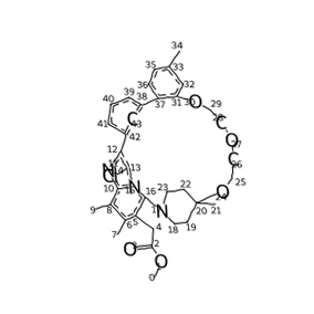 COC(=O)Cc1c(C)c(C)c2nc3c(Cl)n2c1N1CCC(C)(CC1)OCCOCCOc1cc(C)ccc1-c1cccc-3c1